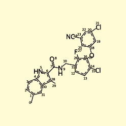 Cc1ccc2[nH]c(C(=O)NCc3ccc(Cl)c(Oc4cc(Cl)cc(C#N)c4)c3F)c(C)c2c1